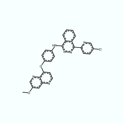 COc1cnc2c(Oc3ccc(Nc4nnc(-c5ccc(Cl)cn5)c5ccccc45)cc3)ccnc2c1